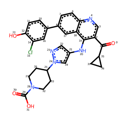 O=C(c1cnc2ccc(-c3ccc(O)c(Cl)c3)cc2c1Nc1cnn(C2CCN(C(=O)O)CC2)c1)C1CC1